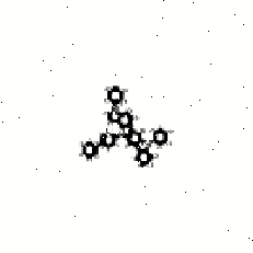 c1ccc(-c2ccc(-n3c4cc5c6ccccc6n(-c6ccccc6)c5cc4c4ccc5c(ccn5-c5ccccc5)c43)nc2)cc1